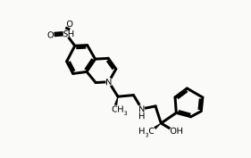 C[C@H](CNC[C@@](C)(O)c1ccccc1)N1C=Cc2cc([SH](=O)=O)ccc2C1